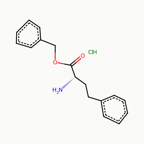 Cl.N[C@@H](CCc1ccccc1)C(=O)OCc1ccccc1